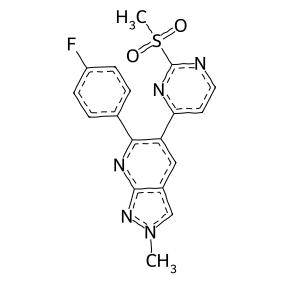 Cn1cc2cc(-c3ccnc(S(C)(=O)=O)n3)c(-c3ccc(F)cc3)nc2n1